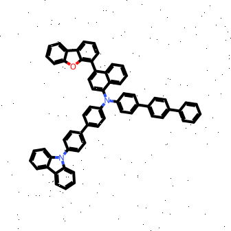 c1ccc(-c2ccc(-c3ccc(N(c4ccc(-c5ccc(-n6c7ccccc7c7ccccc76)cc5)cc4)c4ccc(-c5cccc6c5oc5ccccc56)c5ccccc45)cc3)cc2)cc1